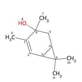 CC1=CC2C(CC1(C)O)C2(C)C